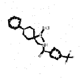 CN(C)C1(CNC(=O)c2ccc(C(F)(F)F)cc2)CCC(c2ccccc2)CC1.Cl